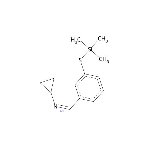 C[Si](C)(C)Sc1cccc(/C=N\C2CC2)c1